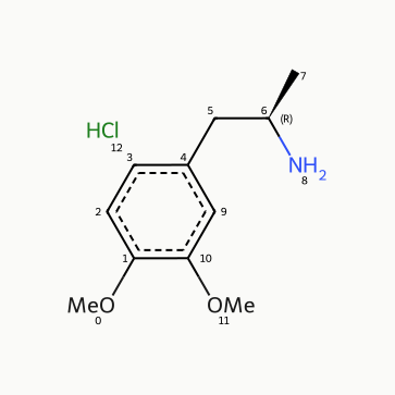 COc1ccc(C[C@@H](C)N)cc1OC.Cl